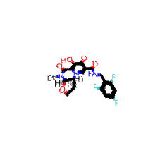 CCN1C(=O)c2c(O)c(=O)c(C(=O)NCc3c(F)cc(F)cc3F)cn2[C@H]2CCO[C@H]21